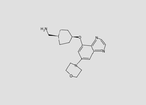 NC[C@H]1CC[C@@H](Oc2cc(N3CCOCC3)cc3nccnc23)CC1